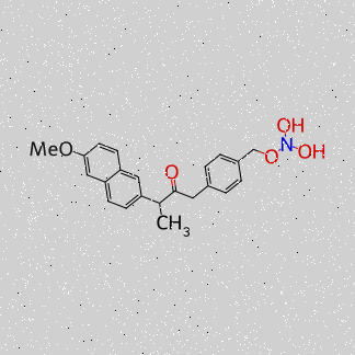 COc1ccc2cc(C(C)C(=O)Cc3ccc(CON(O)O)cc3)ccc2c1